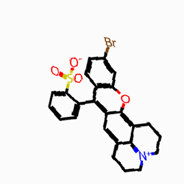 O=S(=O)([O-])c1ccccc1C1=c2cc3c4c(c2Oc2cc(Br)ccc21)CCC[N+]=4CCC3